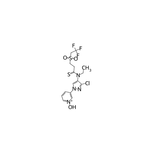 CCN(C(=S)CCS(=O)(=O)CC(F)(F)F)c1cn(-c2ccc[n+](O)c2)nc1Cl